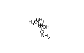 CN(C)CCn1cc(-c2ccc(N)cc2)c(O)n1